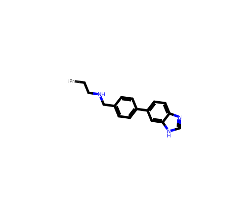 CC(C)CCNCc1ccc(-c2ccc3nc[nH]c3c2)cc1